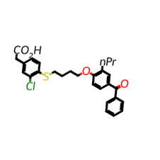 CCCc1cc(C(=O)c2ccccc2)ccc1OCCCCSc1ccc(CC(=O)O)cc1Cl